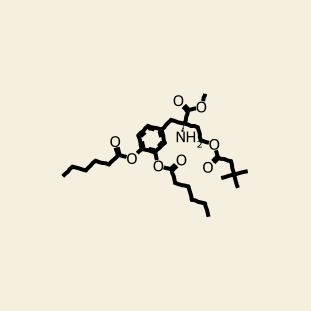 CCCCCC(=O)Oc1ccc(C[C@](N)(CCOC(=O)CC(C)(C)C)C(=O)OC)cc1OC(=O)CCCCC